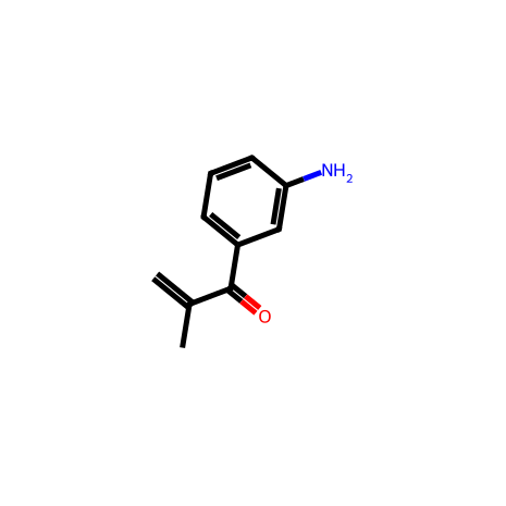 C=C(C)C(=O)c1cccc(N)c1